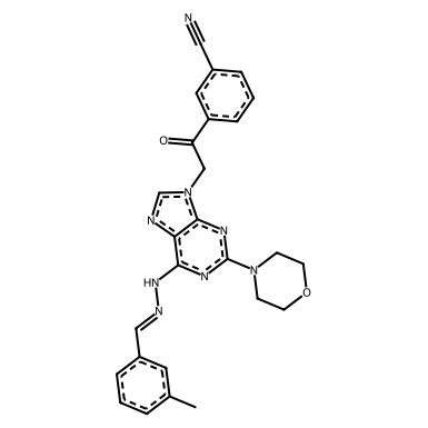 Cc1cccc(C=NNc2nc(N3CCOCC3)nc3c2ncn3CC(=O)c2cccc(C#N)c2)c1